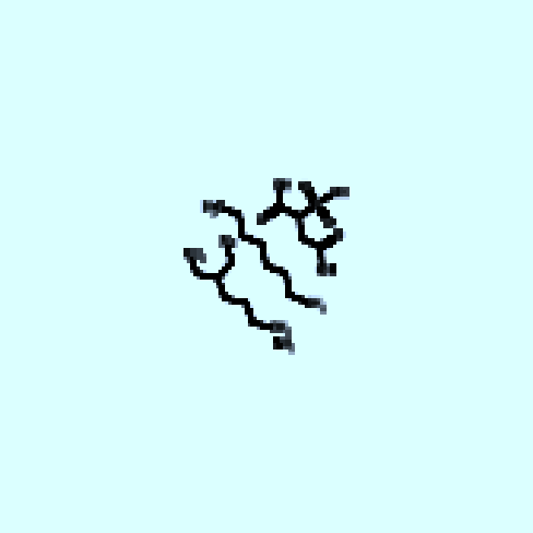 CCCCC(CC)[CH2][Na].CCCCCCCC.N.O=C(O)CC(C(=O)O)S(=O)(=O)O